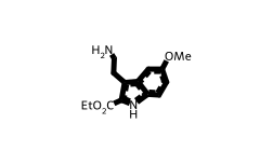 CCOC(=O)c1[nH]c2ccc(OC)cc2c1CCN